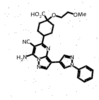 COCCOC1(C(=O)O)CCC(c2nc3c(-c4cnn(-c5ccccc5)c4)cnn3c(N)c2C#N)CC1